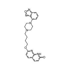 O=c1ccc2ccc(OCCCCN3CCN(c4cccc5nonc45)CC3)nc2[nH]1